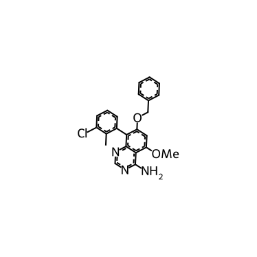 COc1cc(OCc2ccccc2)c(-c2cccc(Cl)c2C)c2ncnc(N)c12